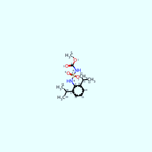 COC(=O)NS(=O)(=O)Nc1c(C(C)C)cccc1C(C)C